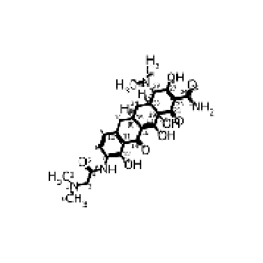 CN(C)CC(=O)Nc1ccc2c(c1O)C(=O)C1=C(O)[C@]3(O)C(=O)C(C(N)=O)=C(O)[C@@H](N(C)C)[C@@H]3C[C@@H]1C2